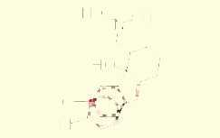 CN(C)CC1CCC/C(=C/c2ccc(Cl)cc2)C1(O)c1cccc(Cl)c1